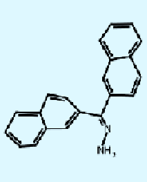 NN=C(c1ccc2ccccc2c1)c1ccc2ccccc2c1